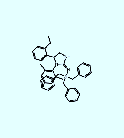 CCc1ccccc1C1CNC(=[N][Zr]([CH2]c2ccccc2)([CH2]c2ccccc2)[CH2]c2ccccc2)N1c1c(C)cc(C)cc1C